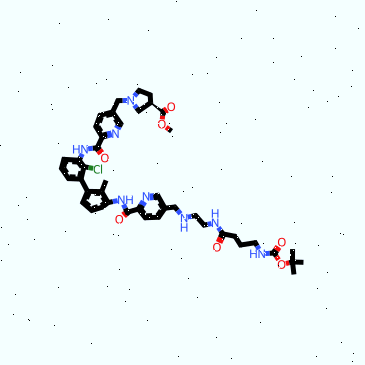 COC(=O)[C@@H]1CCN(Cc2ccc(C(=O)Nc3cccc(-c4cccc(NC(=O)c5ccc(CNCCNC(=O)CCCNC(=O)OC(C)(C)C)cn5)c4C)c3Cl)nc2)C1